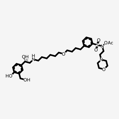 CC(=O)ON(CCN1CCOCC1)S(=O)(=O)c1cccc(CCCCOCCCCCCNC[C@@H](O)c2ccc(O)c(CO)c2)c1